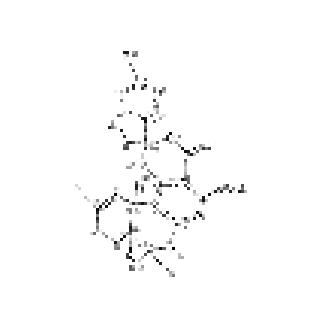 CCCCCc1cc2c(c3c1C(=O)OC(CC(C)=O)(c1ccc(F)cc1)O3)[C@@H]1C=C(C)CC[C@H]1C(C)(C)O2